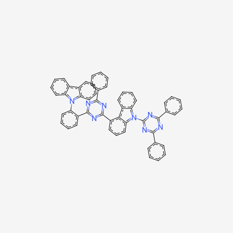 c1ccc(-c2nc(-c3ccccc3-n3c4ccccc4c4ccccc43)nc(-c3cccc4c3c3ccccc3n4-c3nc(-c4ccccc4)nc(-c4ccccc4)n3)n2)cc1